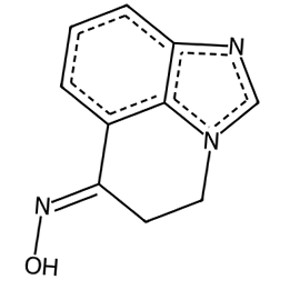 O/N=C1\CCn2cnc3cccc1c32